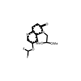 COC(Cn1c(=O)ccc2ncc(OC(F)F)cc21)OC